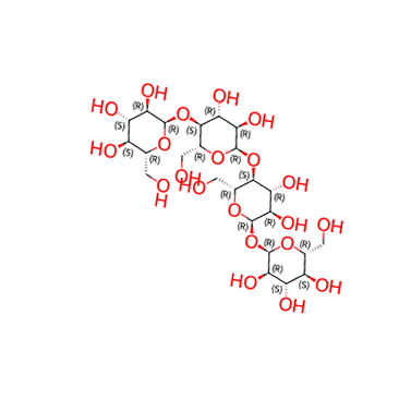 OC[C@H]1O[C@H](O[C@H]2O[C@H](CO)[C@@H](O[C@H]3O[C@H](CO)[C@@H](O[C@H]4O[C@H](CO)[C@@H](O)[C@H](O)[C@H]4O)[C@H](O)[C@H]3O)[C@H](O)[C@H]2O)[C@H](O)[C@@H](O)[C@@H]1O